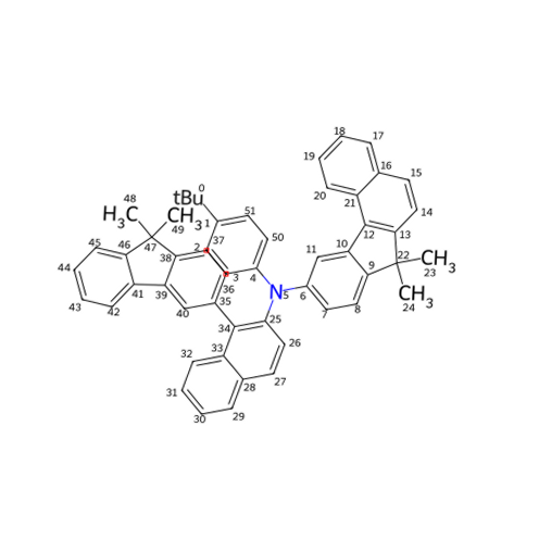 CC(C)(C)c1ccc(N(c2ccc3c(c2)-c2c(ccc4ccccc24)C3(C)C)c2ccc3ccccc3c2-c2ccc3c(c2)-c2ccccc2C3(C)C)cc1